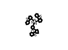 Clc1ccc(-c2nc(-c3cccc4sc5ccccc5c34)nc(-c3cccc4sc5ccccc5c34)n2)cc1-c1cccc2sc3ccccc3c12